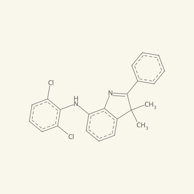 CC1(C)C(c2ccccc2)=Nc2c(Nc3c(Cl)cccc3Cl)cccc21